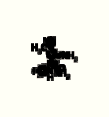 Cc1ncncc1N1CCC(n2cc(C(N)=O)c(Nc3ccc(F)cc3)n2)C(CCN)C1